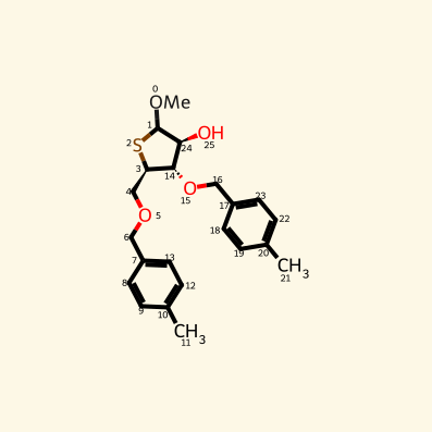 COC1S[C@H](COCc2ccc(C)cc2)[C@@H](OCc2ccc(C)cc2)[C@@H]1O